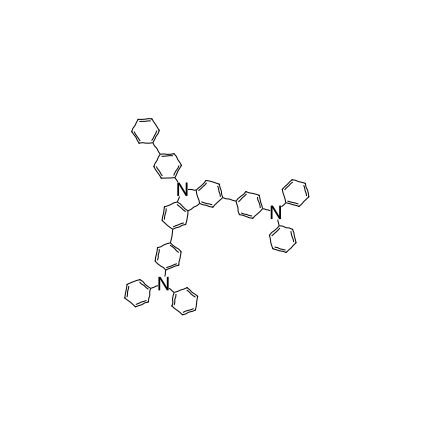 c1ccc(-c2ccc(-n3c4ccc(-c5ccc(N(c6ccccc6)c6ccccc6)cc5)cc4c4cc(-c5ccc(N(c6ccccc6)c6ccccc6)cc5)ccc43)cc2)cc1